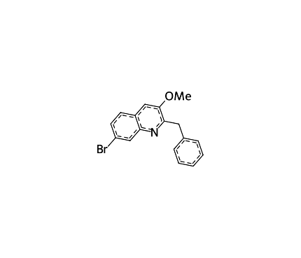 COc1cc2ccc(Br)cc2nc1Cc1ccccc1